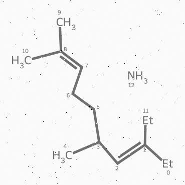 CCC(=CC(C)CCC=C(C)C)CC.N